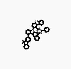 CC1(C)c2ccccc2-c2ccc(-c3cccc4c3c3ccccc3n4-c3ccc4oc5ccccc5c4c3-c3nc(-c4ccccc4)nc(-c4ccccc4)n3)cc21